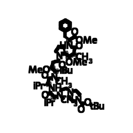 CC[C@H](C)[C@@H]([C@@H](CC(=O)N1CCC[C@H]1[C@H](OC)[C@@H](C)C(=O)N[C@@H](Cc1ccccc1)C(=O)OC)OC)N(C)C(=O)[C@@H](NC(=O)[C@H](C(C)C)N(C)CCN1CCN(C(=O)OC(C)(C)C)CC1)C(C)C